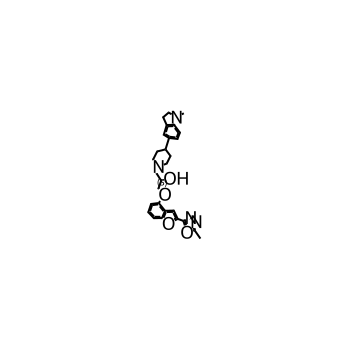 Cc1nnc(-c2cc3c(OC[C@@H](O)CN4CCC(c5ccc6c(c5)CCN6C)CC4)cccc3o2)o1